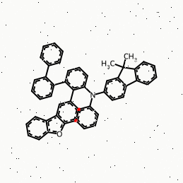 CC1(C)c2ccccc2-c2ccc(N(c3ccccc3)c3cccc(-c4ccccc4-c4ccccc4)c3-c3ccc4oc5ccccc5c4c3)cc21